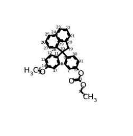 CCOC(=O)Oc1ccc(C2(c3ccc(OC)cc3)Cc3cccc4cccc2c34)cc1